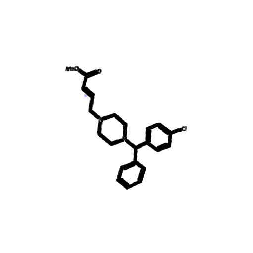 COC(=O)/C=C/CN1CCN(C(c2ccccc2)c2ccc(Cl)cc2)CC1